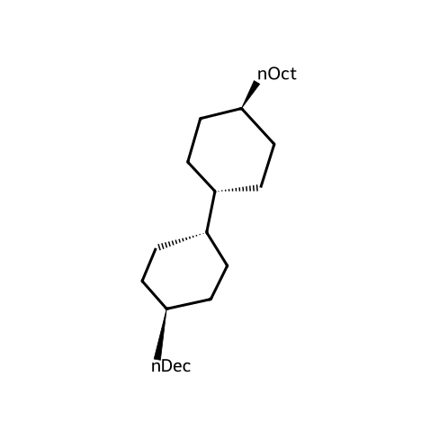 CCCCCCCCCC[C@H]1CC[C@H]([C@H]2CC[C@H](CCCCCCCC)CC2)CC1